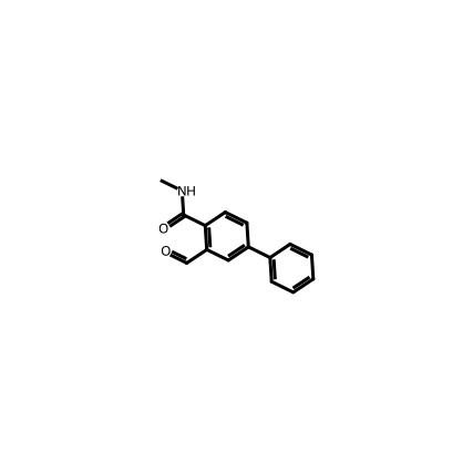 CNC(=O)c1ccc(-c2ccccc2)cc1C=O